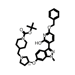 Cn1nc(-c2ccc(OCc3ccccc3)nc2O)c2ccc(O[C@H]3CCN(CC4CCN(C(=O)OC(C)(C)C)CC4)C3)cc21